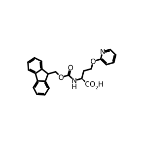 O=C(N[C@@H](CCOc1ccccn1)C(=O)O)OCC1c2ccccc2-c2ccccc21